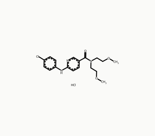 COCCN(CCOC)C(=O)c1ccc(Nc2ccc(Cl)cc2)nc1.Cl